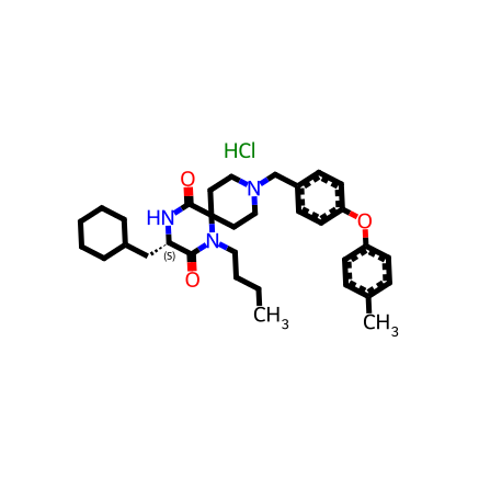 CCCCN1C(=O)[C@H](CC2CCCCC2)NC(=O)C12CCN(Cc1ccc(Oc3ccc(C)cc3)cc1)CC2.Cl